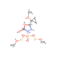 COSOP(=O)(OSOC)n1nc(C2(OC)CC2)oc1=O